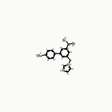 CC(C)(C)c1ccc(-c2cc(Cn3ccnc3)cc(C(Br)Br)c2)cc1